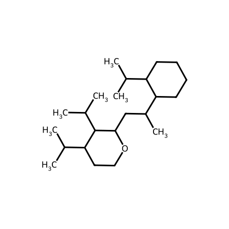 CC(C)C1CCCCC1C(C)CC1OCCC(C(C)C)C1C(C)C